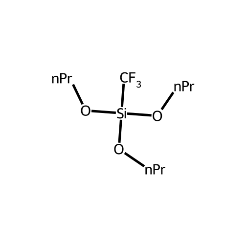 CCCO[Si](OCCC)(OCCC)C(F)(F)F